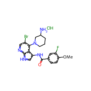 COc1ccc(C(=O)Nc2c[nH]c3ncc(Br)c(N4CCCC(N)C4)c23)cc1F.Cl